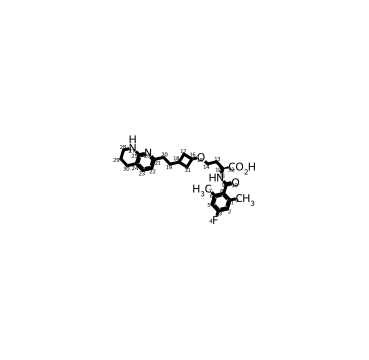 Cc1cc(F)cc(C)c1C(=O)N[C@@H](CCOC1CC(CCc2ccc3c(n2)NCCC3)C1)C(=O)O